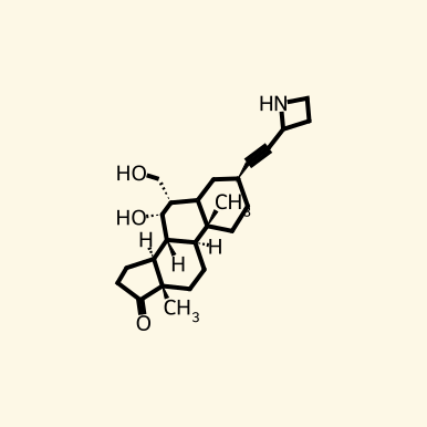 C[C@]12CC[C@H](C#CC3CCN3)CC1[C@@H](CO)[C@@H](O)[C@@H]1[C@@H]2CC[C@]2(C)C(=O)CC[C@@H]12